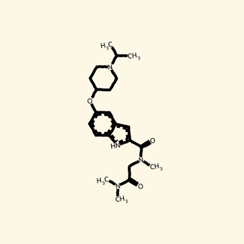 CC(C)N1CCC(Oc2ccc3[nH]c(C(=O)N(C)CC(=O)N(C)C)cc3c2)CC1